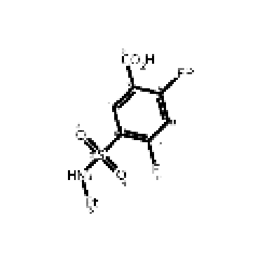 CCNS(=O)(=O)c1cc(C(=O)O)c(F)cc1F